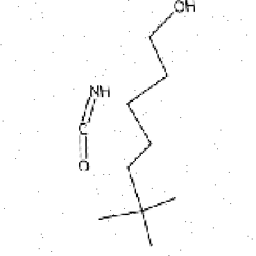 CC(C)(C)CCCCCO.N=C=O